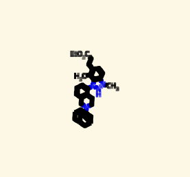 CCOC(=O)CCc1ccc2c(c1C)N(c1cccc3c1CCN(C14CC5CC(CC(C5)C1)C4)C3)NN2C